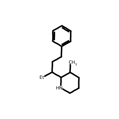 CCC(CCc1ccccc1)C1NCCCC1C